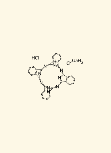 Cl.[Cl][GaH2].c1ccc2c(c1)-c1nc-2nc2[nH]c(nc3nc(nc4[nH]c(n1)c1ccccc41)-c1ccccc1-3)c1ccccc21